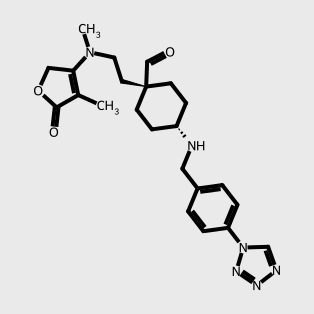 CC1=C(N(C)CC[C@]2(C=O)CC[C@@H](NCc3ccc(-n4cnnn4)cc3)CC2)COC1=O